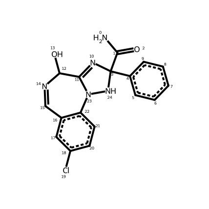 NC(=O)C1(c2ccccc2)N=C2C(O)N=Cc3cc(Cl)ccc3N2N1